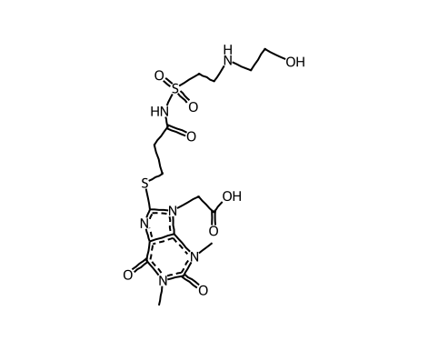 Cn1c(=O)c2nc(SCCC(=O)NS(=O)(=O)CCNCCO)n(CC(=O)O)c2n(C)c1=O